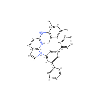 Cc1cc(C)c(Nc2ccc3ccn(-c4cc(-c5ccccc5)cc(-c5ccccc5)c4)c3n2)c(C)c1